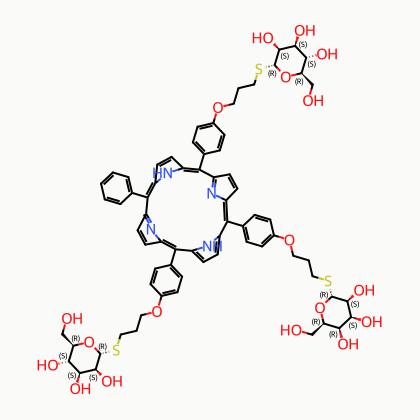 OC[C@H]1O[C@H](SCCCOc2ccc(-c3c4nc(c(-c5ccc(OCCCS[C@H]6O[C@H](CO)[C@@H](O)[C@H](O)[C@@H]6O)cc5)c5ccc([nH]5)c(-c5ccccc5)c5nc(c(-c6ccc(OCCCS[C@H]7O[C@H](CO)[C@@H](O)[C@H](O)[C@@H]7O)cc6)c6ccc3[nH]6)C=C5)C=C4)cc2)[C@@H](O)[C@@H](O)[C@H]1O